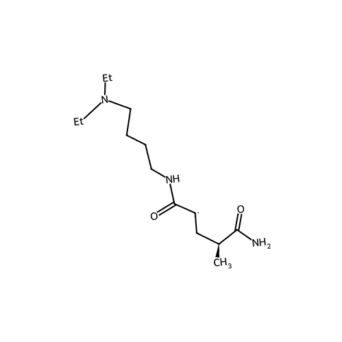 CCN(CC)CCCCNC(=O)[CH]C[C@H](C)C(N)=O